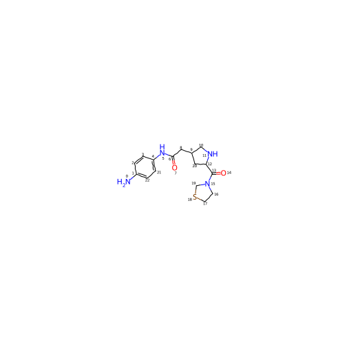 Nc1ccc(NC(=O)CC2CNC(C(=O)N3CCSC3)C2)cc1